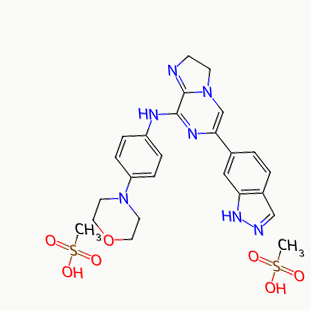 C1=C(c2ccc3cn[nH]c3c2)N=C(Nc2ccc(N3CCOCC3)cc2)C2=NCCN12.CS(=O)(=O)O.CS(=O)(=O)O